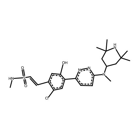 CNS(=O)(=O)/C=C/c1cc(O)c(-c2ccc(N(C)C3CC(C)(C)NC(C)(C)C3)nn2)cc1Cl